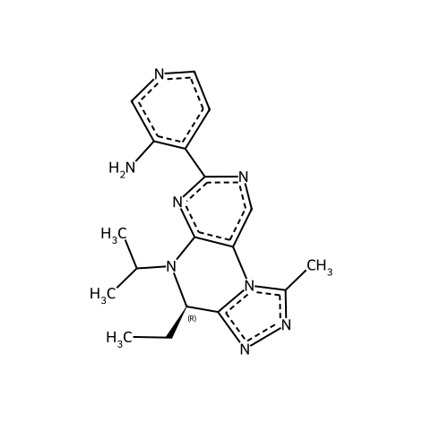 CC[C@@H]1c2nnc(C)n2-c2cnc(-c3ccncc3N)nc2N1C(C)C